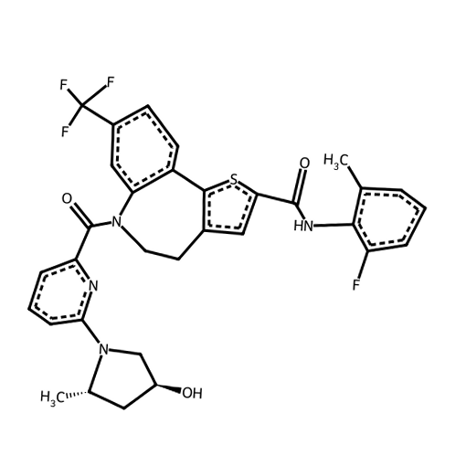 Cc1cccc(F)c1NC(=O)c1cc2c(s1)-c1ccc(C(F)(F)F)cc1N(C(=O)c1cccc(N3C[C@@H](O)C[C@@H]3C)n1)CC2